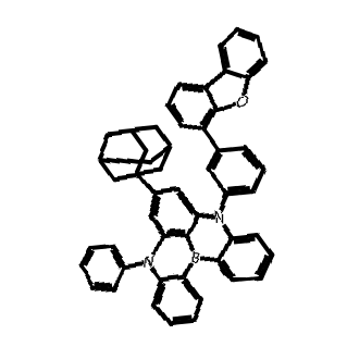 c1ccc(N2c3ccccc3B3c4ccccc4N(c4cccc(-c5cccc6c5oc5ccccc56)c4)c4cc(C56CC7CC(CC(C7)C5)C6)cc2c43)cc1